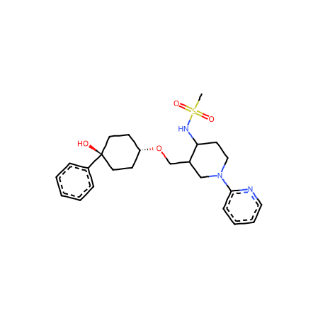 CS(=O)(=O)NC1CCN(c2ccccn2)CC1CO[C@H]1CC[C@@](O)(c2ccccc2)CC1